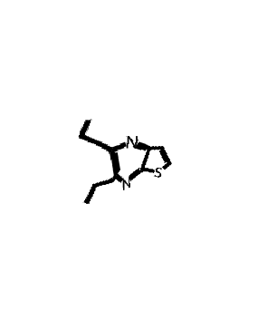 CCc1nc2ccsc2nc1CC